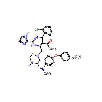 COC(=O)C1=C(CN2CCN(C)C(CN(C=O)c3ccc(Oc4ccc(C(=O)O)cc4)cc3)C2)NC(c2nccn2C)=NC1c1ccccc1Cl